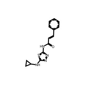 O=C(C=Cc1ccccc1)Nc1nnc(NC2CC2)s1